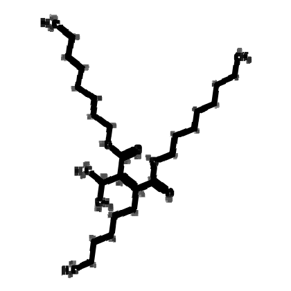 CCCCCCCCOC(=O)C(CCCCCC)=C(C(=O)OCCCCCCCC)C(C)C